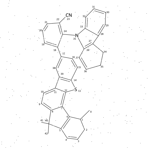 CC1CC=CC2=C1c1c(ccc3c1sc1ccc(-c4cccc(C#N)c4-n4c5c(c6ccccc64)CCC=C5)cc13)C2(C)C